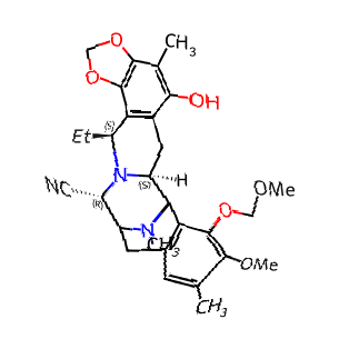 CC[C@H]1c2c(c(O)c(C)c3c2OCO3)C[C@H]2C3c4c(cc(C)c(OC)c4OCOC)CC([C@H](C#N)N12)N3C